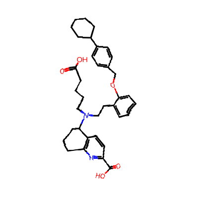 O=C(O)CCCCN(CCc1ccccc1OCc1ccc(C2CCCCC2)cc1)C1CCCc2nc(C(=O)O)ccc21